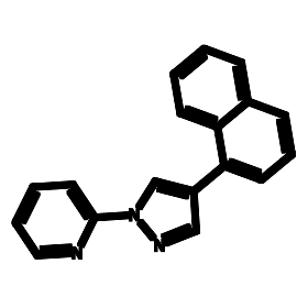 c1ccc(-n2cc(-c3cccc4ccccc34)cn2)nc1